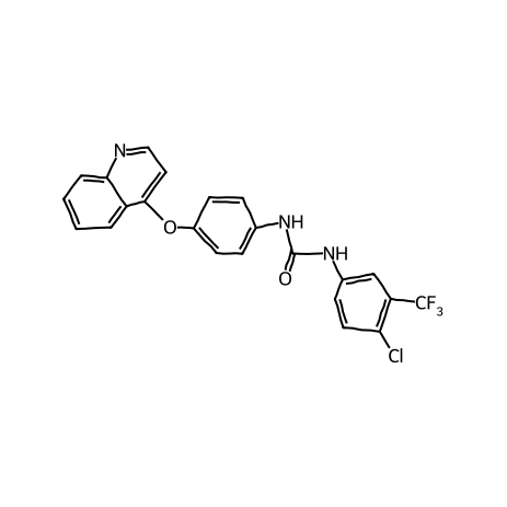 O=C(Nc1ccc(Oc2ccnc3ccccc23)cc1)Nc1ccc(Cl)c(C(F)(F)F)c1